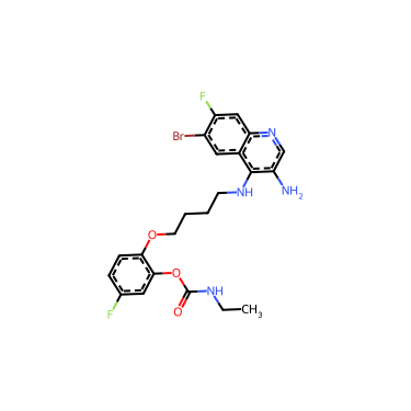 CCNC(=O)Oc1cc(F)ccc1OCCCCNc1c(N)cnc2cc(F)c(Br)cc12